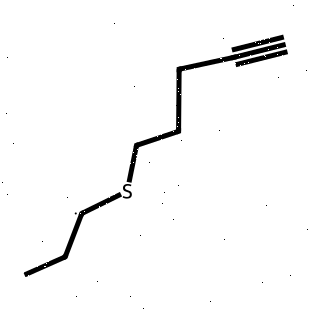 C#CCCCS[CH]CC